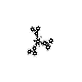 N#Cc1c(/C=C/c2ccc3c(c2)c2ccccc2n3-c2ccccc2)c(C#N)c(/C=C/c2ccc3c(c2)c2ccccc2n3-c2ccccc2)c(C#N)c1/C=C/c1ccc2c(c1)c1ccccc1n2-c1ccccc1